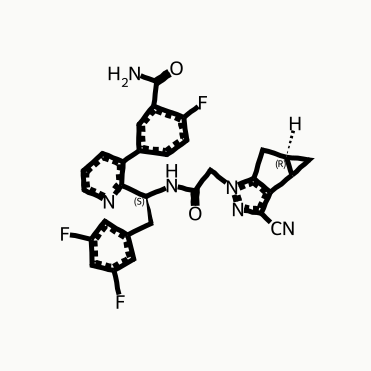 N#Cc1nn(CC(=O)N[C@@H](Cc2cc(F)cc(F)c2)c2ncccc2-c2ccc(F)c(C(N)=O)c2)c2c1C1C[C@@H]1C2